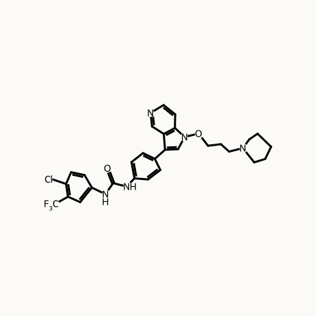 O=C(Nc1ccc(-c2cn(OCCCN3CCCCC3)c3ccncc23)cc1)Nc1ccc(Cl)c(C(F)(F)F)c1